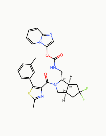 Cc1cccc(-c2sc(C)nc2C(=O)N2C[C@@H]3CC(F)(F)C[C@@H]3[C@H]2CNC(=O)Oc2cnc3ccccn23)c1